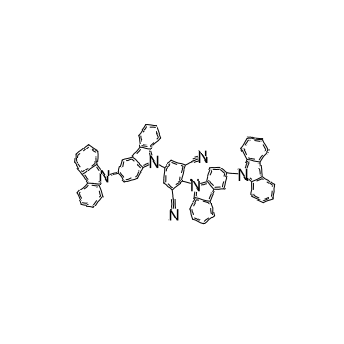 N#Cc1cc(-n2c3ccccc3c3cc(-n4c5ccccc5c5ccccc54)ccc32)cc(C#N)c1-n1c2ccccc2c2cc(-n3c4ccccc4c4ccccc43)ccc21